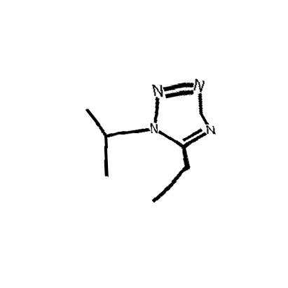 CCc1nnnn1C(C)C